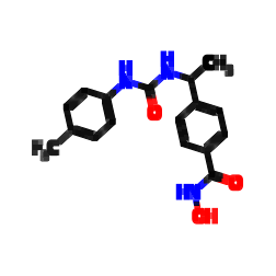 CC(NC(=O)Nc1ccc(C(F)(F)F)cc1)c1ccc(C(=O)NO)cc1